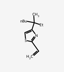 C=Cc1nc(C(C)(CC)CCCC)cs1